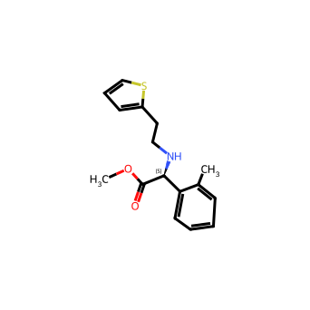 COC(=O)[C@@H](NCCc1cccs1)c1ccccc1C